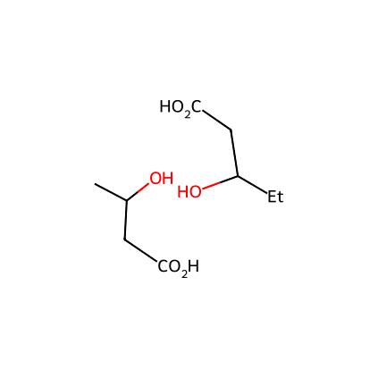 CC(O)CC(=O)O.CCC(O)CC(=O)O